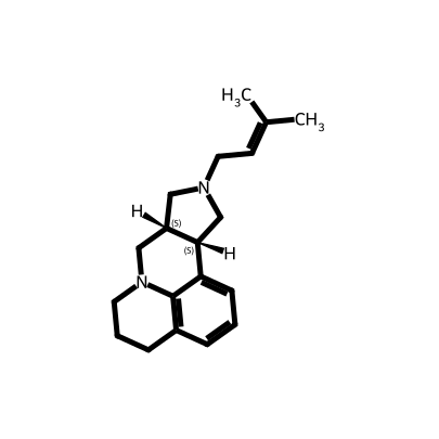 CC(C)=CCN1C[C@H]2CN3CCCc4cccc(c43)[C@H]2C1